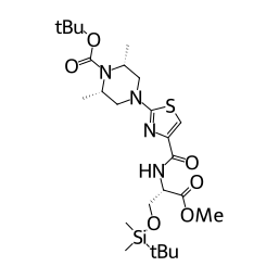 COC(=O)[C@H](CO[Si](C)(C)C(C)(C)C)NC(=O)c1csc(N2C[C@@H](C)N(C(=O)OC(C)(C)C)[C@@H](C)C2)n1